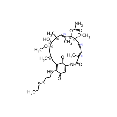 [CH2]CSSCCNC1=C2C[C@@H](C)C[C@H](OC)[C@@H](O)[C@@H](C)/C=C(\C)[C@H](OC(N)=O)[C@@H](OC)/C=C\C=C(/C)C(=O)NC(=CC1=O)C2=O